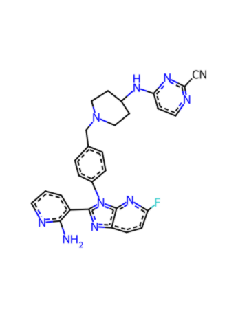 N#Cc1nccc(NC2CCN(Cc3ccc(-n4c(-c5cccnc5N)nc5ccc(F)nc54)cc3)CC2)n1